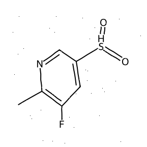 Cc1ncc([SH](=O)=O)cc1F